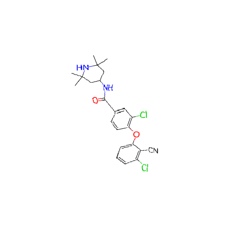 CC1(C)CC(NC(=O)c2ccc(Oc3cccc(Cl)c3C#N)c(Cl)c2)CC(C)(C)N1